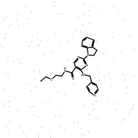 CCOCCNC(=O)c1cnc(N2CCc3ccccc32)nc1NCc1ccncc1